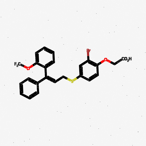 O=C(O)COc1ccc(SCC=C(c2ccccc2)c2ccccc2OC(F)(F)F)cc1Br